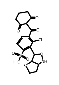 CS(=O)(=O)c1ccc(C(=O)C2C(=O)CCCC2=O)c(Cl)c1C1ONC2CCOC21